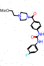 COCCN1CCN(C(=O)c2ccc(NC(=O)Nc3ccc(F)cc3)cc2)CC1